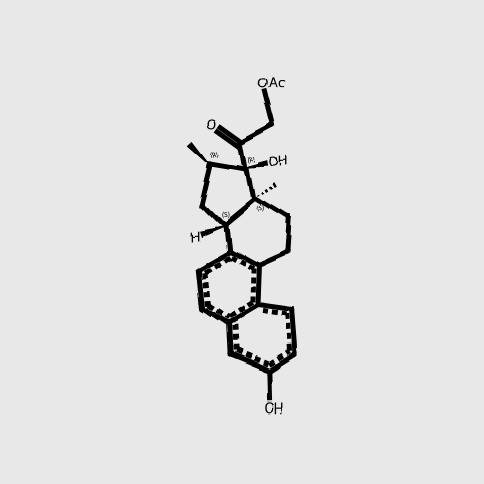 CC(=O)OCC(=O)[C@@]1(O)[C@H](C)C[C@H]2c3ccc4cc(O)ccc4c3CC[C@@]21C